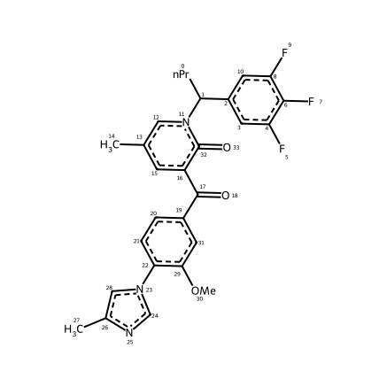 CCCC(c1cc(F)c(F)c(F)c1)n1cc(C)cc(C(=O)c2ccc(-n3cnc(C)c3)c(OC)c2)c1=O